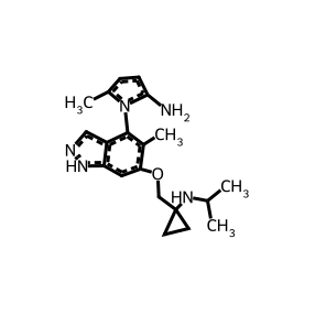 Cc1c(OCC2(NC(C)C)CC2)cc2[nH]ncc2c1-n1c(C)ccc1N